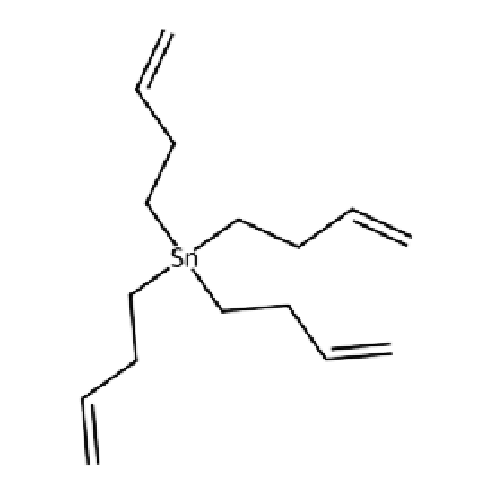 C=CC[CH2][Sn]([CH2]CC=C)([CH2]CC=C)[CH2]CC=C